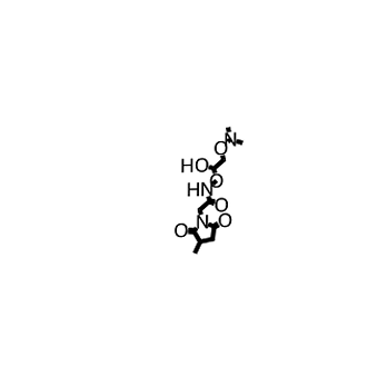 CC1CC(=O)N(CC(=O)NOC(O)CON(C)C)C1=O